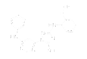 COc1ccccc1Nc1nc(N)n(-c2cc(Nc3ccccc3)ncn2)n1